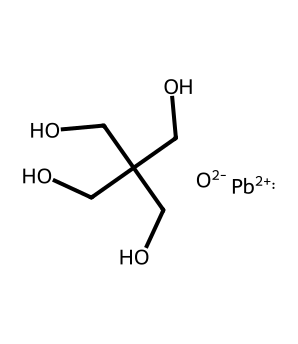 OCC(CO)(CO)CO.[O-2].[Pb+2]